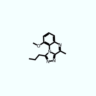 CCCc1nnc2c(C)nc3cccc(OC)c3n12